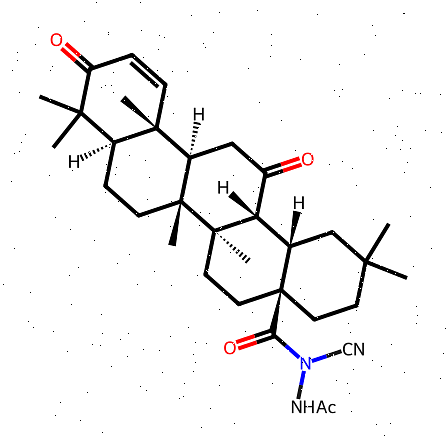 CC(=O)NN(C#N)C(=O)[C@]12CCC(C)(C)C[C@H]1[C@H]1C(=O)C[C@@H]3[C@@]4(C)C=CC(=O)C(C)(C)[C@@H]4CC[C@@]3(C)[C@]1(C)CC2